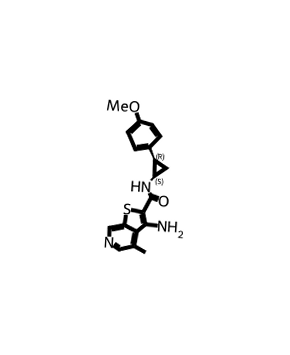 COc1ccc([C@H]2C[C@@H]2NC(=O)c2sc3cncc(C)c3c2N)cc1